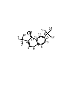 CC(C)(C)C1=CCc2ccc(C(C)(C)C)cc2C1=O